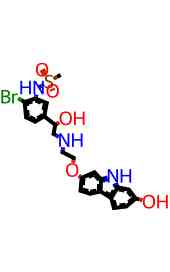 CS(=O)(=O)Nc1cc(C(O)CNCCOc2ccc3c(c2)[nH]c2cc(O)ccc23)ccc1Br